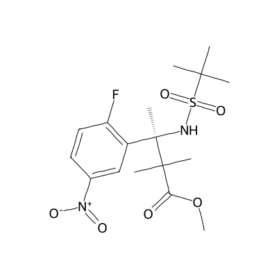 COC(=O)C(C)(C)[C@](C)(NS(=O)(=O)C(C)(C)C)c1cc([N+](=O)[O-])ccc1F